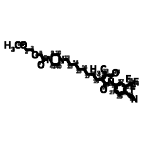 COCCOCC(=O)N1CCN(CCCCCCCCC2=C(C)C(=O)N(c3ccc(C#N)c(C(F)(F)F)c3)C2=O)CC1